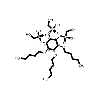 CCCCCO[C@@H]1[C@@H](OCCCCC)[C@H](OP(=O)(O)CO)[C@@H](OP(=O)(O)CO)[C@@H](OP(=O)(O)CO)[C@H]1OCCCCC